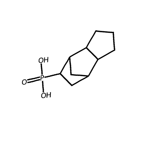 O=P(O)(O)C1CC2CC1C1CCCC21